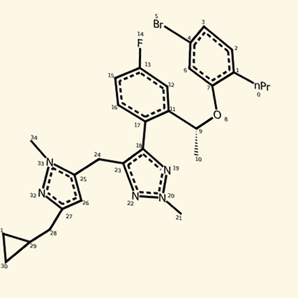 CCCc1ccc(Br)cc1O[C@H](C)c1cc(F)ccc1-c1nn(C)nc1Cc1cc(CC2CC2)nn1C